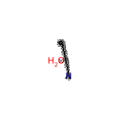 CCN(CC)CCCCCCCCCCCCCCCCCCCc1ccccc1.O